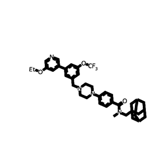 CCOc1cncc(-c2cc(CN3CCN(c4ccc(C(=O)N(C)CC56CC7CC(CC(C7)C5)C6)cc4)CC3)cc(OC(F)(F)F)c2)c1